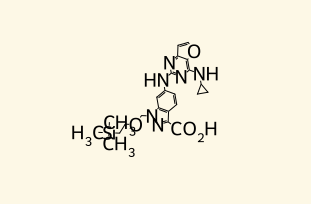 C[Si](C)(C)CCOCn1nc(C(=O)O)c2ccc(Nc3nc(NC4CC4)c4occc4n3)cc21